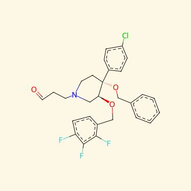 O=CCCN1CC[C@@](OCc2ccccc2)(c2ccc(Cl)cc2)[C@@H](OCc2ccc(F)c(F)c2F)C1